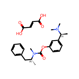 C[C@H](Cc1ccccc1)N(C)C(=O)Oc1cccc([C@H](C)N(C)C)c1.O=C(O)C=CC(=O)O